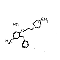 Cc1ccc(OCCCN2CCN(C)CC2)c(Cc2ccccc2)c1.Cl